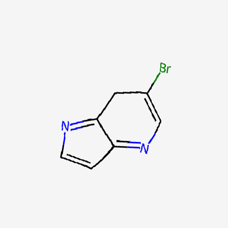 BrC1=CN=C2C=CN=C2C1